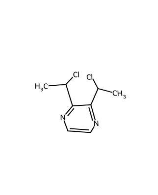 CC(Cl)c1nccnc1C(C)Cl